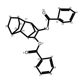 O=C(OC1C2CC(C1OC(=O)c1ccccc1)C1C3CCC(CC3)C21)c1ccccc1